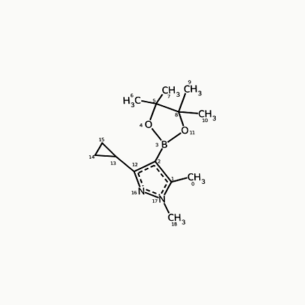 Cc1c(B2OC(C)(C)C(C)(C)O2)c(C2CC2)nn1C